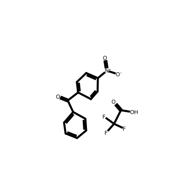 O=C(O)C(F)(F)F.O=C(c1ccccc1)c1ccc([N+](=O)[O-])cc1